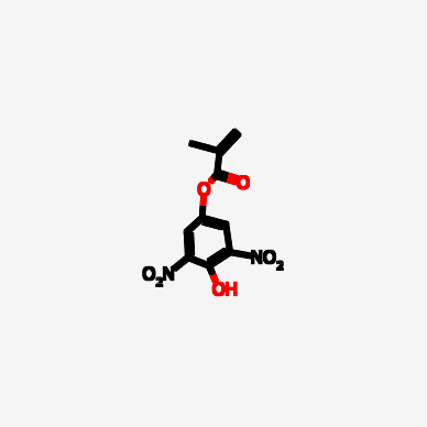 C=C(C)C(=O)Oc1cc([N+](=O)[O-])c(O)c([N+](=O)[O-])c1